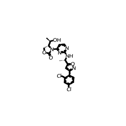 C[C@H](Nc1nccc(N2C(=O)OC[C@@H]2[C@@H](C)O)n1)c1cc(-c2ccc(Cl)cc2Cl)no1